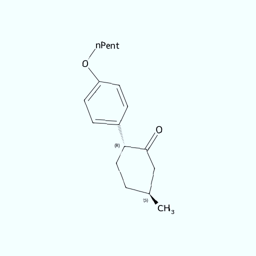 CCCCCOc1ccc([C@H]2CC[C@H](C)CC2=O)cc1